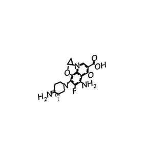 COc1c(N2CC[C@H](N)[C@@H](C)C2)c(F)c(N)c2c(=O)c(C(=O)O)cn(C3CC3)c12